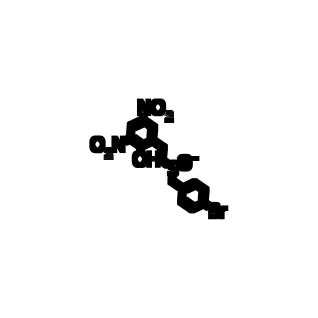 O=[N+]([O-])c1cc(/C=C/[S+]([O-])Cc2ccc(Br)cc2)c(O)c([N+](=O)[O-])c1